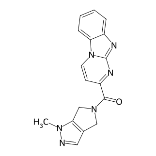 Cn1ncc2c1CN(C(=O)c1ccn3c(n1)nc1ccccc13)C2